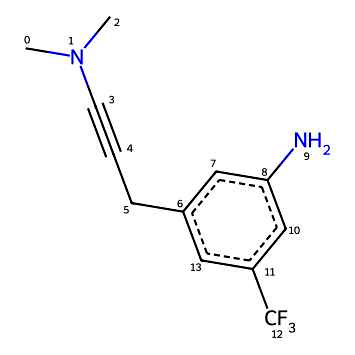 CN(C)C#CCc1cc(N)cc(C(F)(F)F)c1